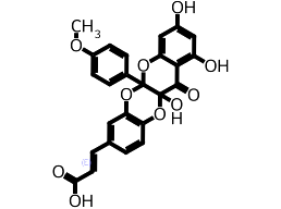 COc1ccc(C23Oc4cc(/C=C/C(=O)O)ccc4OC2(O)C(=O)c2c(O)cc(O)cc2O3)cc1